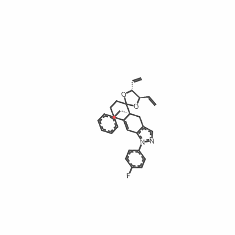 C=C[C@H]1OC2(CCCC3=Cc4c(cnn4-c4ccc(F)cc4)C[C@@]32Cc2ccccc2)O[C@@H]1C=C